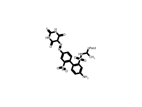 CCCCCC(C)NS(=O)(=O)c1cc(N)ccc1-c1ccc(N=NC2C(=O)NC(=S)NC2=O)cc1[SH](=O)=O